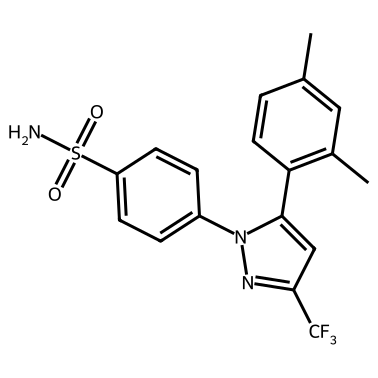 Cc1ccc(-c2cc(C(F)(F)F)nn2-c2ccc(S(N)(=O)=O)cc2)c(C)c1